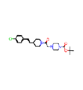 CC(C)(C)OC(=O)N1CCN(CC(=O)N2CCC(/C=C/c3ccc(Cl)cc3)CC2)CC1